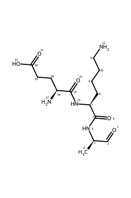 C[C@H]([C]=O)NC(=O)[C@H](CCCCN)NC(=O)[C@@H](N)CCC(=O)O